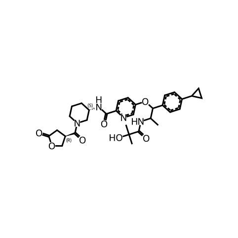 CC(NC(=O)C(C)(C)O)C(Oc1ccc(C(=O)N[C@H]2CCCN(C(=O)[C@H]3COC(=O)C3)C2)nc1)c1ccc(C2CC2)cc1